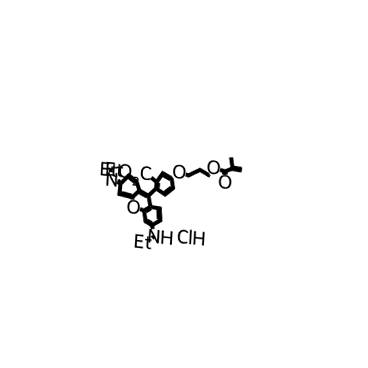 C=C(C)C(=O)OCCCOc1ccc(-c2c3ccc(=NCC)cc-3oc3cc(NCC)ccc23)c(C(=O)OCC)c1.Cl